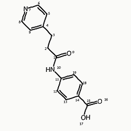 O=C(CCc1ccncc1)Nc1ccc(C(=O)O)cc1